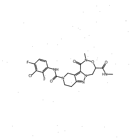 CNC(=O)C1Cn2nc3c(c2C(=O)N(C)O1)CN(C(=O)Nc1ccc(F)c(Cl)c1F)CC3